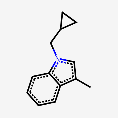 Cc1cn(CC2CC2)c2ccccc12